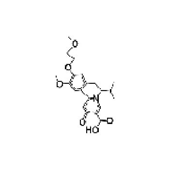 COCCOc1cc2c(cc1OC)-c1cc(=O)c(C(=O)O)cn1C(C(C)C)C2